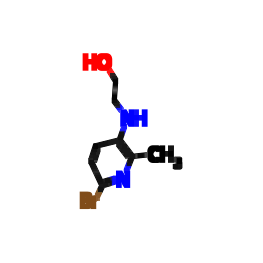 Cc1nc(Br)ccc1NCCO